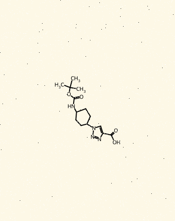 CC(C)(C)OC(=O)NC1CCC(n2cc(C(=O)O)nn2)CC1